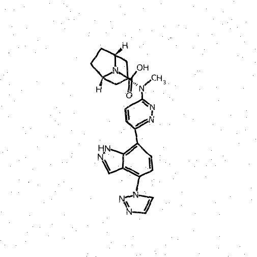 CN(c1ccc(-c2ccc(-n3ccnn3)c3cn[nH]c23)nn1)[C@H]1C[C@H]2CC[C@@H](C1)N2C(=O)O